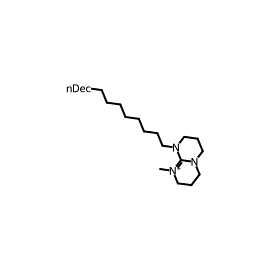 CCCCCCCCCCCCCCCCCCN1CCCN2CCC[N+](C)=C12